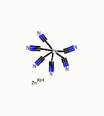 N#[C][Fe]([C]#N)([C]#N)([C]#N)([C]#N)[C]#N.[KH].[Zn]